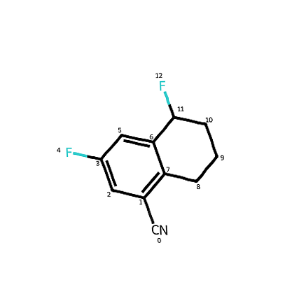 N#Cc1cc(F)cc2c1CCCC2F